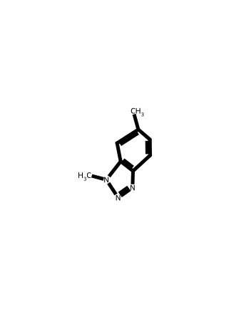 Cc1ccc2nnn(C)c2c1